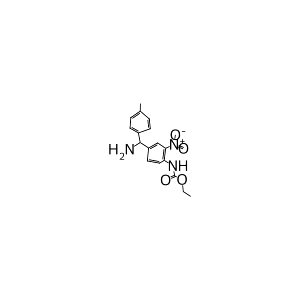 CCOC(=O)Nc1ccc(C(N)c2ccc(C)cc2)cc1[N+](=O)[O-]